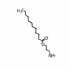 CCCCCCCCCCCC(=O)OCCC[NH]